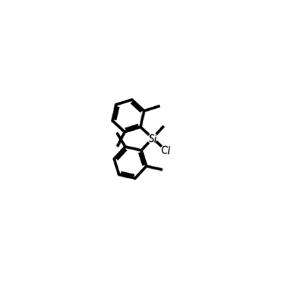 Cc1cccc(C)c1[Si](C)(Cl)c1c(C)cccc1C